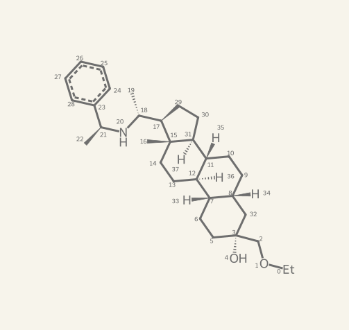 CCOC[C@@]1(O)CC[C@H]2[C@H](CC[C@@H]3[C@@H]2CC[C@]2(C)[C@@H]([C@@H](C)N[C@@H](C)c4ccccc4)CC[C@@H]32)C1